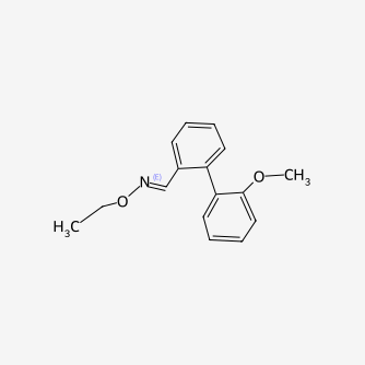 CCO/N=C/c1ccccc1-c1ccccc1OC